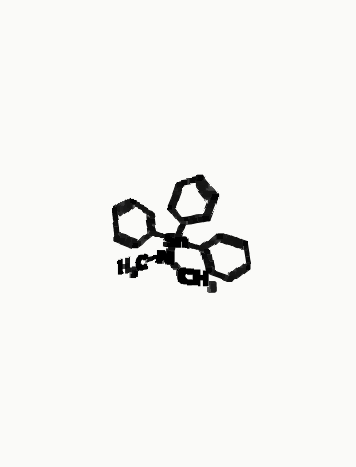 C[N](C)[Sn]([c]1ccccc1)([c]1ccccc1)[c]1ccccc1